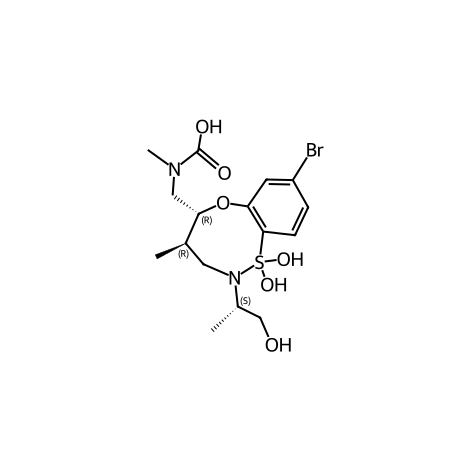 C[C@@H]1CN([C@@H](C)CO)S(O)(O)c2ccc(Br)cc2O[C@H]1CN(C)C(=O)O